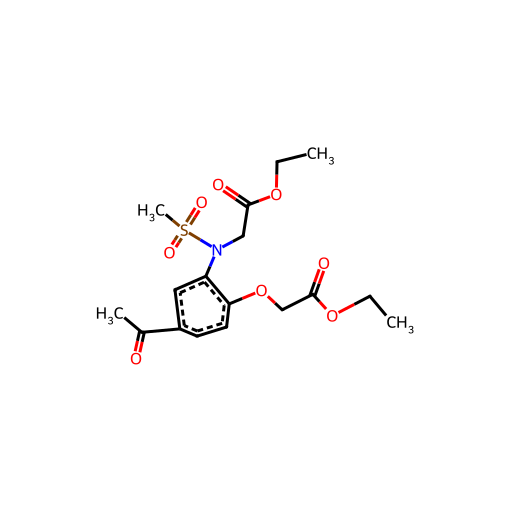 CCOC(=O)COc1ccc(C(C)=O)cc1N(CC(=O)OCC)S(C)(=O)=O